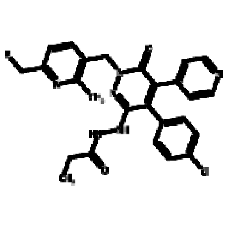 CCC(=O)NNc1nn(Cc2ccc(CF)nc2C)c(=O)c(-c2ccncc2)c1-c1ccc(Cl)cc1